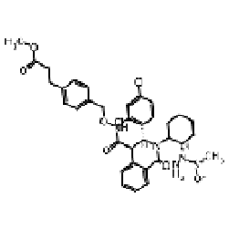 COC(=O)CCc1ccc(CONC(=O)C2c3ccccc3C(=O)N(C3CCCC[C@@H]3N(N)[S+](C)[O-])[C@H]2c2ccc(Cl)cc2Cl)cc1